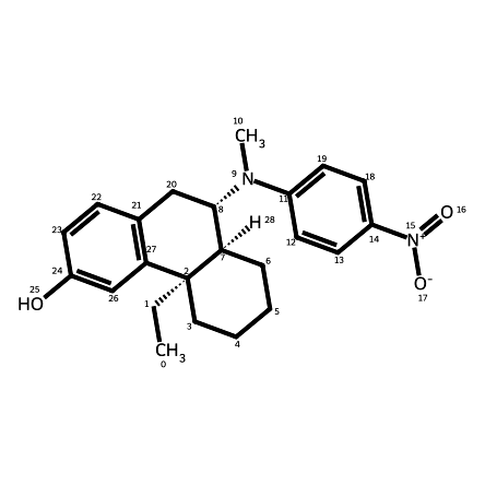 CC[C@@]12CCCC[C@@H]1[C@@H](N(C)c1ccc([N+](=O)[O-])cc1)Cc1ccc(O)cc12